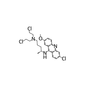 COc1ccc2nc3cc(Cl)ccc3c(N[C@@H](C)CCCN(CCCl)CCCl)c2c1